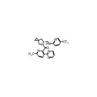 Cc1ccc(-c2ncccn2)c(C(=O)N2CC3(CC3)C[C@H]2CNc2ccc(C(F)(F)F)cn2)n1